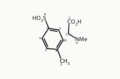 CNCC(=O)O.Cc1ccc(S(=O)(=O)O)cc1